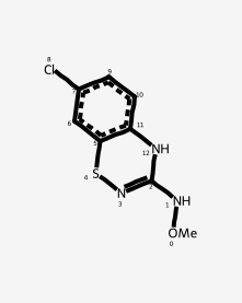 CONC1=NSc2cc(Cl)ccc2N1